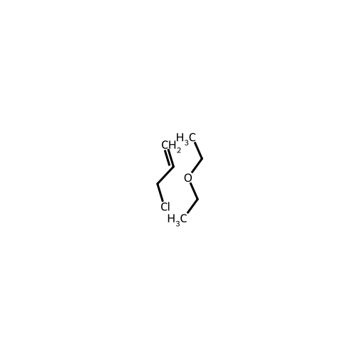 C=CCCl.CCOCC